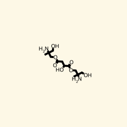 CC(N)(CO)COC(=O)CC(O)C(=O)OCC(C)(N)CO